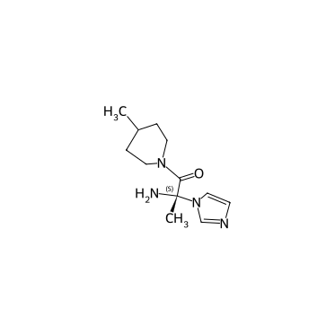 CC1CCN(C(=O)[C@@](C)(N)n2ccnc2)CC1